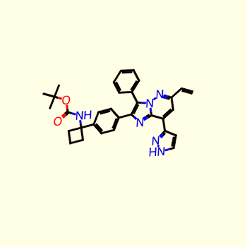 C=Cc1cc(-c2cc[nH]n2)c2nc(-c3ccc(C4(NC(=O)OC(C)(C)C)CCC4)cc3)c(-c3ccccc3)n2n1